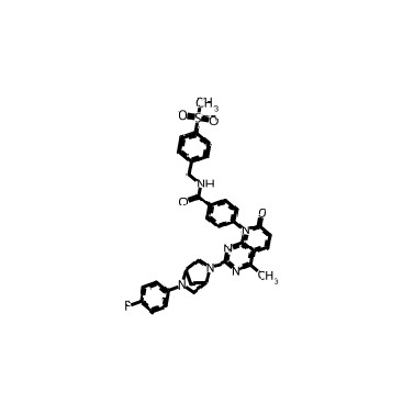 Cc1nc(N2CC3CC2CN3c2ccc(F)cc2)nc2c1ccc(=O)n2-c1ccc(C(=O)NCc2ccc(S(C)(=O)=O)cc2)cc1